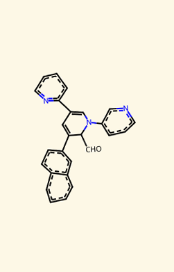 O=CC1C(c2ccc3ccccc3c2)=CC(c2ccccn2)=CN1c1cccnc1